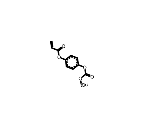 C=CC(=O)Oc1ccc(OC(=O)OC(C)(C)C)cc1